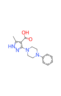 Cc1[nH]nc(N2CCN(c3ccccc3)CC2)c1C(=O)O